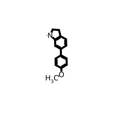 COc1ccc(-c2ccc3c(c2)[N]CC3)cc1